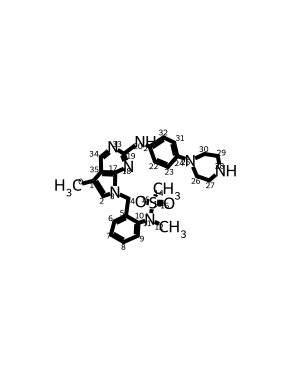 Cc1cn(Cc2ccccc2N(C)S(C)(=O)=O)c2nc(Nc3ccc(N4CCNCC4)cc3)ncc12